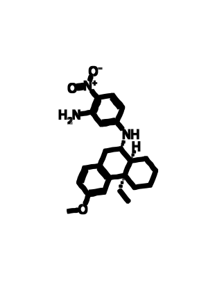 CC[C@@]12CCCC[C@@H]1[C@@H](Nc1ccc([N+](=O)[O-])c(N)c1)Cc1ccc(OC)cc12